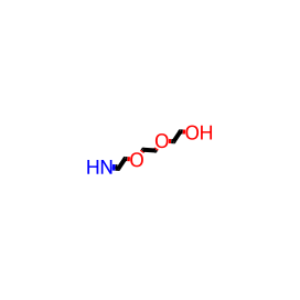 N=CCOCCOCCO